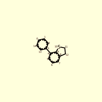 c1ccc(-c2cccc3c2SCC3)cc1